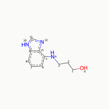 OCCCNc1cccc2[nH]cnc12